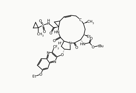 CCOc1ccc2nc(C(F)(F)F)c(O[C@@H]3C[C@H]4C(=O)N[C@]5(C(=O)NS(=O)(=O)C6(C)CC6)CC5/C=C\CC[C@@H](C)C[C@@H](CC)[C@H](NC(=O)OC(C)(C)C)C(=O)N4C3)nc2c1